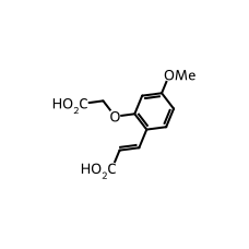 COc1ccc(/C=C/C(=O)O)c(OCC(=O)O)c1